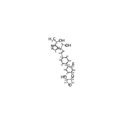 CC(O)c1nccn1C(/C=C/c1ccc(-c2ccc(OC3COCC3O)cc2F)cc1)CO